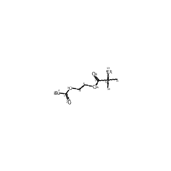 CCC(C)C(=O)OCCOC(=O)C(C)(C)CC